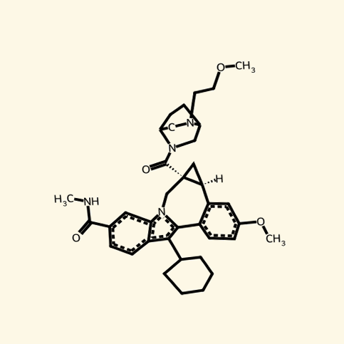 CNC(=O)c1ccc2c(C3CCCCC3)c3n(c2c1)C[C@@]1(C(=O)N2CC4CCC2CN4CCOC)C[C@H]1c1cc(OC)ccc1-3